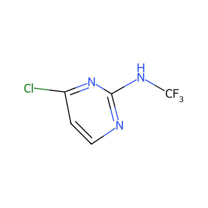 FC(F)(F)Nc1nccc(Cl)n1